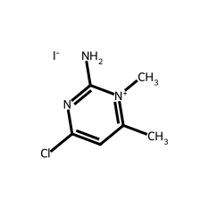 Cc1cc(Cl)nc(N)[n+]1C.[I-]